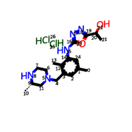 Cc1cc(CN2CCN[C@@H](C)C2)c(C)c(Nc2nnc(C(C)O)o2)c1.Cl.Cl